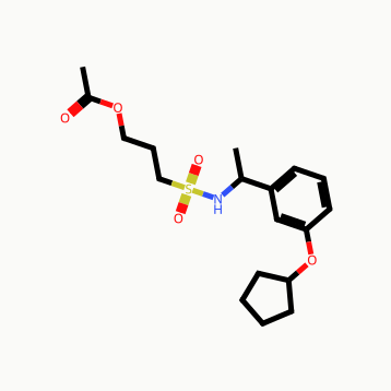 CC(=O)OCCCS(=O)(=O)NC(C)c1cccc(OC2CCCC2)c1